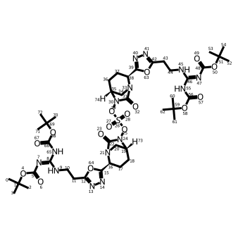 CC(C)(C)OC(=O)/N=C(\NCCc1nnc([C@@H]2CC[C@@H]3CN2C(=O)N3OS(=O)(=O)ON2C(=O)N3C[C@H]2CC[C@H]3c2nnc(CCN/C(=N\C(=O)OC(C)(C)C)NC(=O)OC(C)(C)C)o2)o1)NC(=O)OC(C)(C)C